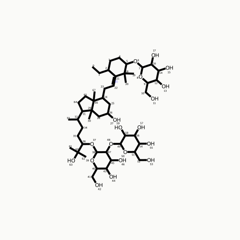 CCC1CCC(OC2OC(CO)C(O)C(O)C2O)C(C)(C)/C1=C/CC1CC(O)CC2(C)C(C(C)CCC(OC3OC(CO)C(O)C(O)C3OC3OC(CO)C(O)C(O)C3O)C(C)(C)O)CCC12C